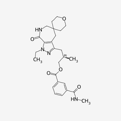 CCn1nc(C[C@@H](C)COC(=O)c2cccc(C(=O)NC)c2)c2c1C(=O)NCC1(CCOCC1)C2